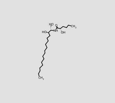 CCCCCCCCCCCCCCC[C@@H](O)[C@H](CO)NC(=O)[C@@H](O)CCCC